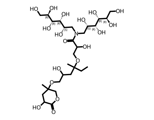 CCC(C)(CC(O)COC1(C)COC(=O)C(O)C1)OCC(O)C(=O)N(C[C@H](O)[C@@H](O)[C@H](O)[C@H](O)CO)C[C@H](O)[C@@H](O)[C@H](O)[C@H](O)CO